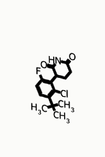 CC(C)(C)c1ccc(F)c(C2CCC(=O)NC2=O)c1Cl